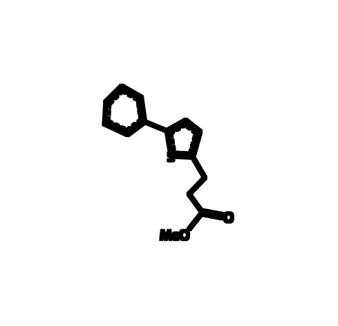 COC(=O)CCc1ccc(-c2ccccc2)s1